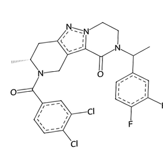 CC(c1ccc(F)c(F)c1)N1CCn2nc3c(c2C1=O)CN(C(=O)c1ccc(Cl)c(Cl)c1)[C@H](C)C3